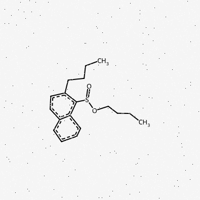 CCCCOS(=O)c1c(CCCC)ccc2ccccc12